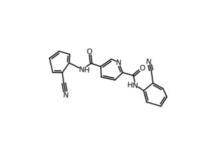 N#Cc1ccccc1NC(=O)c1ccc(C(=O)Nc2ccccc2C#N)nc1